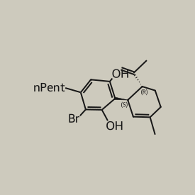 C=C(C)[C@@H]1CCC(C)=C[C@H]1c1c(O)cc(CCCCC)c(Br)c1O